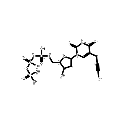 CCCCC#CCc1cn(C2CC(O)[C@@H](COP(=O)(O)OP(=O)(O)OP(=O)(O)O)O2)c(=O)[nH]c1=O